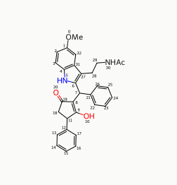 COc1ccc2[nH]c(C(C3=C(O)C(c4ccccc4)CC3=O)c3ccccc3)c(CCNC(C)=O)c2c1